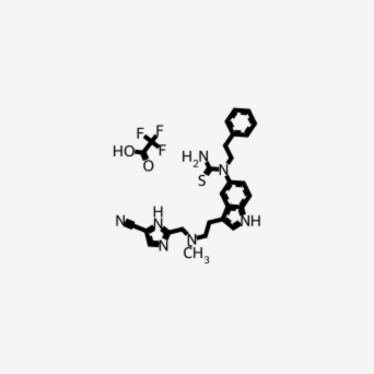 CN(CCc1c[nH]c2ccc(N(CCc3ccccc3)C(N)=S)cc12)Cc1ncc(C#N)[nH]1.O=C(O)C(F)(F)F